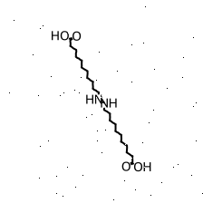 O=C(O)CCCCCCCCCCNNCCCCCCCCCCC(=O)O